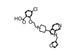 O=C(O)c1ccc(Cl)cc1OCCN1CCC(c2cn(Cc3ccoc3)c3cnccc23)CC1